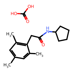 Cc1cc(C)c(CC(=O)NC2CCCC2)c(C)c1.O=C(O)O